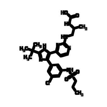 CCCS(=O)(=O)Nc1cc(Cl)cc(-c2nc(C(C)(C)C)[nH]c2-c2ccnc(NCC(C)NC(=O)O)n2)c1